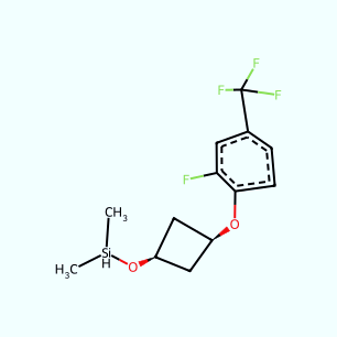 C[SiH](C)O[C@H]1C[C@@H](Oc2ccc(C(F)(F)F)cc2F)C1